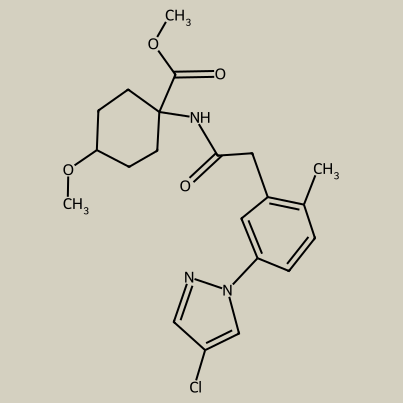 COC(=O)C1(NC(=O)Cc2cc(-n3cc(Cl)cn3)ccc2C)CCC(OC)CC1